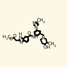 COC(=O)Cc1nc2ccc(C(=O)Nc3cc(CN4CCC(O)C(C)C4)cc(-n4cnc(C)c4)c3)cc2[nH]1